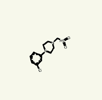 O=[SH](=O)CN1CCN(c2cccc(Cl)c2)CC1